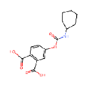 O=C(NC1CCCCC1)Oc1ccc(C(=O)O)c(C(=O)O)c1